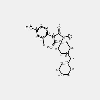 CCN1C(=O)N(c2ccc(C(F)(F)F)cc2C)C(=O)C12CCN(CC1CCOCC1)CC2